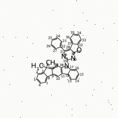 CC1(C)c2ccccc2-c2cc3c4ccccc4n(-c4nc(-c5ccccc5)c5c(n4)oc4ccccc45)c3cc21